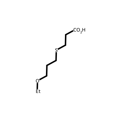 CCOCCCSCCC(=O)O